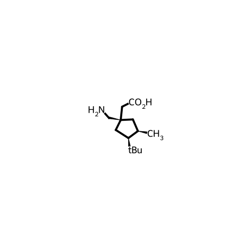 C[C@@H]1C[C@@](CN)(CC(=O)O)C[C@@H]1C(C)(C)C